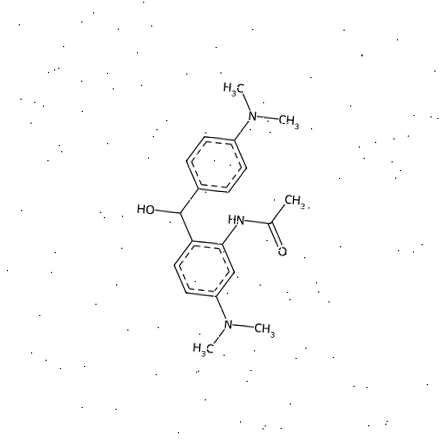 CC(=O)Nc1cc(N(C)C)ccc1C(O)c1ccc(N(C)C)cc1